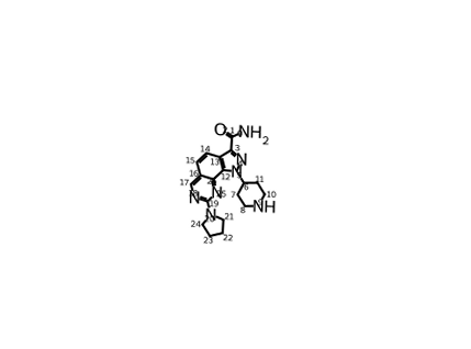 NC(=O)c1nn(C2CCNCC2)c2c1ccc1cnc(N3CCCC3)nc12